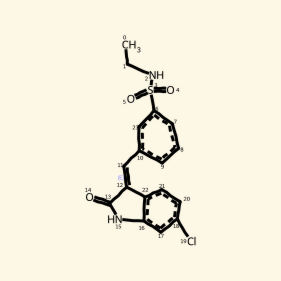 CCNS(=O)(=O)c1cccc(/C=C2/C(=O)Nc3cc(Cl)ccc32)c1